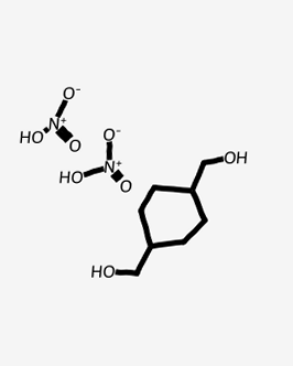 O=[N+]([O-])O.O=[N+]([O-])O.OCC1CCC(CO)CC1